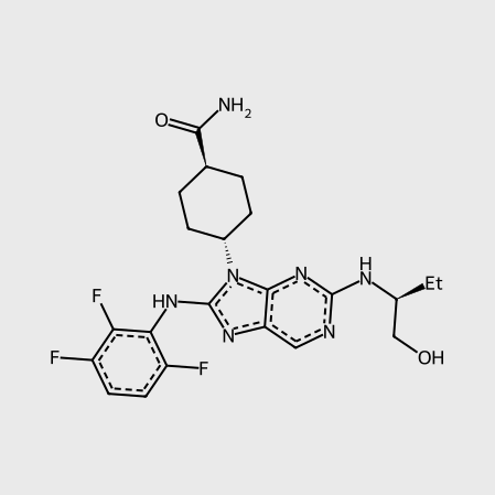 CC[C@@H](CO)Nc1ncc2nc(Nc3c(F)ccc(F)c3F)n([C@H]3CC[C@H](C(N)=O)CC3)c2n1